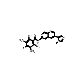 Bc1c(B)c(C(=O)Nc2cc3cc(-c4cncn4C)cnc3cn2)c(B)c(B)c1F